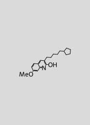 COc1ccc2cc(CCCCCC3CCCC3)c(O)nc2c1